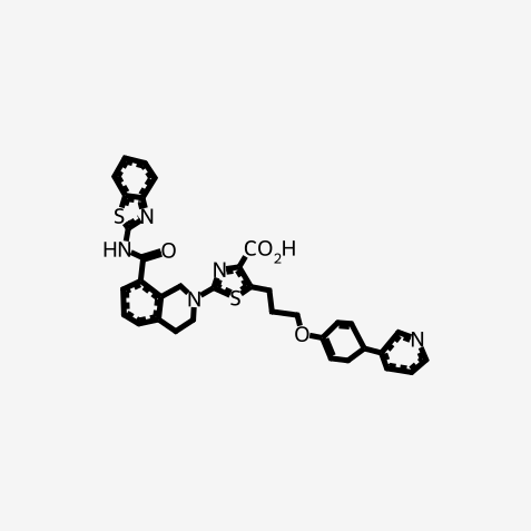 O=C(Nc1nc2ccccc2s1)c1cccc2c1CN(c1nc(C(=O)O)c(CCCOC3=CCC(c4cccnc4)C=C3)s1)CC2